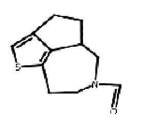 O=CN1CCc2scc3c2C(CC3)C1